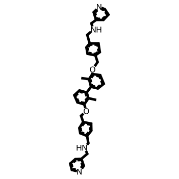 Cc1c(OCc2ccc(CNCc3cccnc3)cc2)cccc1-c1cccc(OCc2ccc(CNCc3cccnc3)cc2)c1C